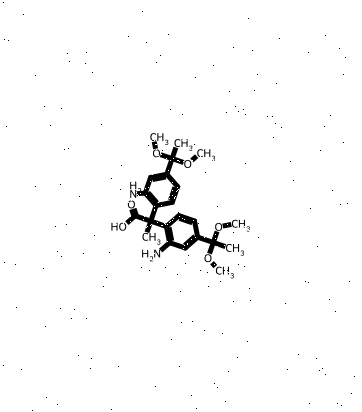 COC(C)(OC)c1ccc(C(C)(C(=O)O)c2ccc(C(C)(OC)OC)cc2N)c(N)c1